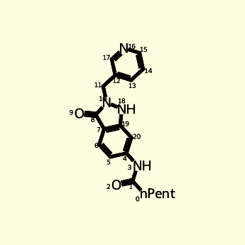 CCCCCC(=O)Nc1ccc2c(=O)n(Cc3cccnc3)[nH]c2c1